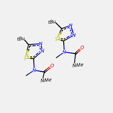 CNC(=O)N(C)c1nnc(C(C)(C)C)s1.CNC(=O)N(C)c1nnc(C(C)(C)C)s1